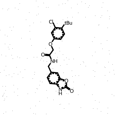 CC(C)(C)c1ccc(OCC(=O)NCc2ccc3[nH]c(=O)oc3c2)cc1Cl